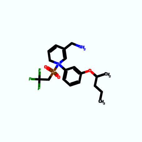 CCCC(C)Oc1cccc([N+]2(S(=O)(=O)CC(F)(F)F)C=C(CN)C=CC2)c1